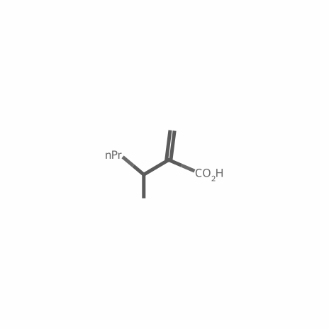 C=C(C(=O)O)C(C)CCC